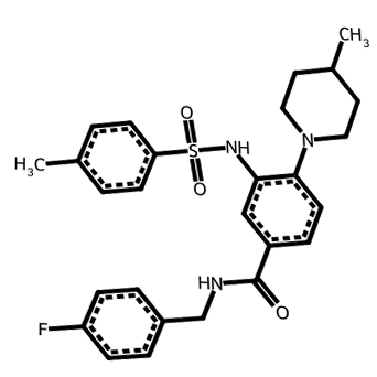 Cc1ccc(S(=O)(=O)Nc2cc(C(=O)NCc3ccc(F)cc3)ccc2N2CCC(C)CC2)cc1